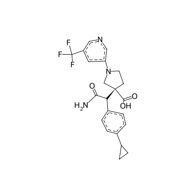 NC(=O)C(c1ccc(C2CC2)cc1)[C@]1(C(=O)O)CCN(c2cncc(C(F)(F)F)c2)C1